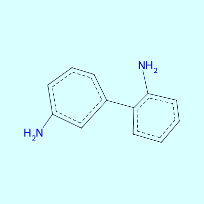 Nc1cccc(-c2ccccc2N)c1